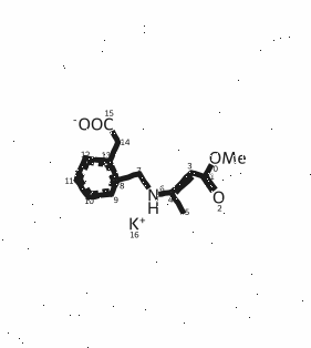 COC(=O)C=C(C)NCc1ccccc1CC(=O)[O-].[K+]